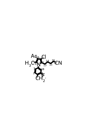 [CH2]c1ccc(-n2c(C)c(C(C)=O)c(Cl)c2CCCCC#N)cc1F